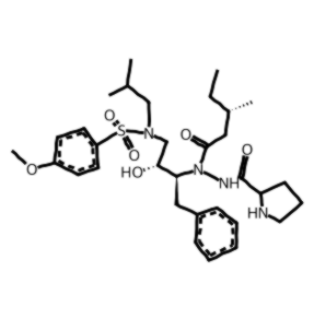 CC[C@H](C)CC(=O)N(NC(=O)C1CCCN1)[C@@H](Cc1ccccc1)[C@H](O)CN(CC(C)C)S(=O)(=O)c1ccc(OC)cc1